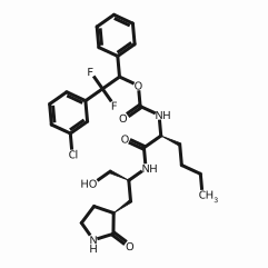 CCCC[C@H](NC(=O)OC(c1ccccc1)C(F)(F)c1cccc(Cl)c1)C(=O)N[C@H](CO)C[C@@H]1CCNC1=O